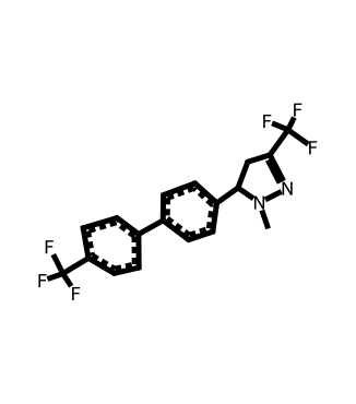 CN1N=C(C(F)(F)F)CC1c1ccc(-c2ccc(C(F)(F)F)cc2)cc1